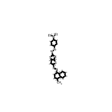 CCN(CC)c1ccc(N=Nc2nc3sc(N=Nc4ccc(C)c5ccccc45)cc3s2)cc1